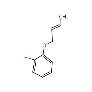 C/C=C/COc1ccccc1I